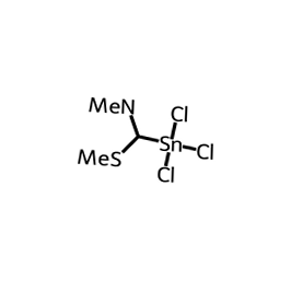 CN[CH](SC)[Sn]([Cl])([Cl])[Cl]